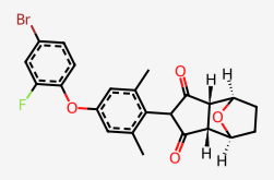 Cc1cc(Oc2ccc(Br)cc2F)cc(C)c1C1C(=O)[C@@H]2[C@H](C1=O)[C@H]1CC[C@@H]2O1